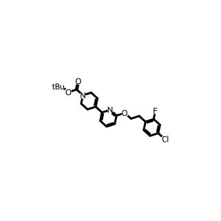 CC(C)(C)OC(=O)N1CC=C(c2cccc(OCCc3ccc(Cl)cc3F)n2)CC1